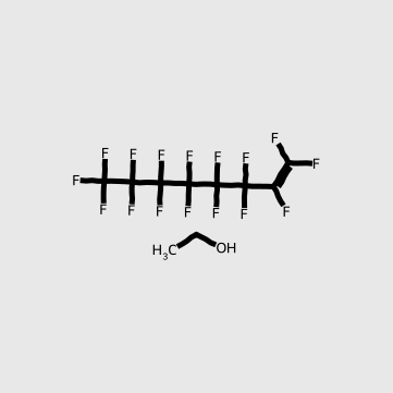 CCO.FC(F)=C(F)C(F)(F)C(F)(F)C(F)(F)C(F)(F)C(F)(F)C(F)(F)F